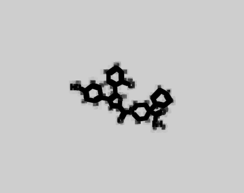 NC(=O)C1(c2ccccc2)CCN(C(=O)c2cc(-c3ccc(O)cc3)c(-c3ccccc3Cl)s2)CC1